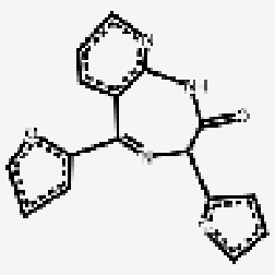 O=C1Nc2ncccc2C(c2ccco2)=NC1c1cccs1